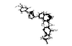 Cc1nc2ccc(Oc3ccc4ncc(-c5cnn(C6CCC(F)(F)CC6)c5)nc4c3Cl)c(F)c2[nH]1